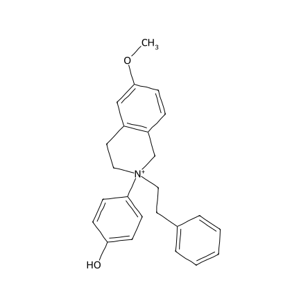 COc1ccc2c(c1)CC[N+](CCc1ccccc1)(c1ccc(O)cc1)C2